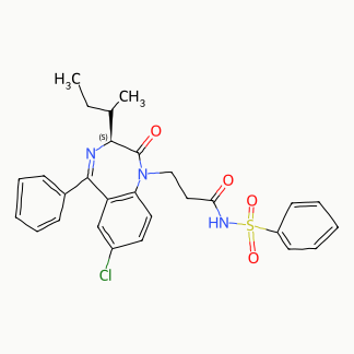 CCC(C)[C@@H]1N=C(c2ccccc2)c2cc(Cl)ccc2N(CCC(=O)NS(=O)(=O)c2ccccc2)C1=O